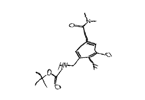 CN(C)C(=O)c1cc(Cl)c(F)c(CNC(=O)OC(C)(C)C)c1